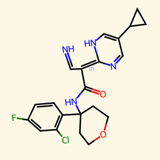 N=C/C(C(=O)NC1(c2ccc(F)cc2Cl)CCOCC1)=C1/N=CC(C2CC2)=CN1